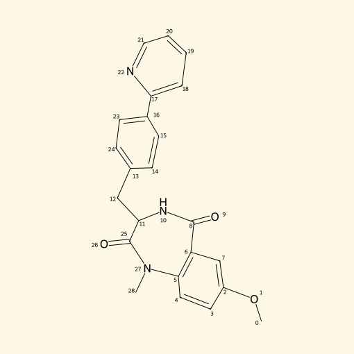 COc1ccc2c(c1)C(=O)NC(Cc1ccc(-c3ccccn3)cc1)C(=O)N2C